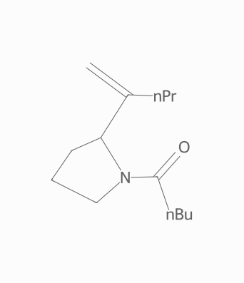 C=C(CCC)C1CCCN1C(=O)CCCC